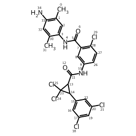 Cc1cc(NC(=O)c2cc(NC(=O)C3C(c4cc(Cl)cc(Cl)c4)C3(Cl)Cl)ccc2Cl)c(C)cc1N